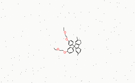 CCOCCOc1ccc(C2(C3=CC=CC(OCCOCC)C=C3)C3=C(CCC(C)=C3)c3ccc(C)cc32)cc1